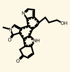 CN1C=c2c(c3c4c([nH]c3c3cc(CCCO)c5c(c23)N=CC=5)C=CC(=O)C4)C1=O